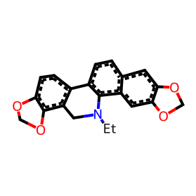 CCN1Cc2c(ccc3c2OCO3)-c2ccc3cc4c(cc3c21)OCO4